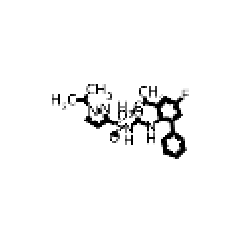 CC(C)c1cc(F)cc(-c2ccccc2)c1NC(=O)NS(=O)(=O)c1ccn(C(C)C)n1